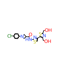 O=C(Nc1nc(-c2sc(CO)nc2CO)cs1)C1CN(c2ccc(Cl)cc2)C1